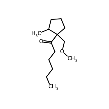 CCCCCC(=O)C1(COC)CCCC1C